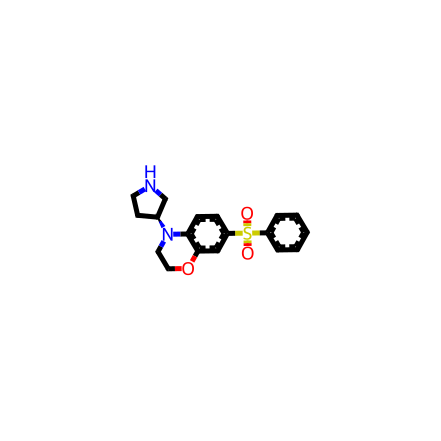 O=S(=O)(c1ccccc1)c1ccc2c(c1)OCCN2[C@H]1CCNC1